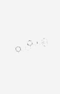 O=C(CC12CC3CC(CC(C3)C1)C2)Nc1ncnc2c1CCN(Cc1ccc(F)cc1F)C2